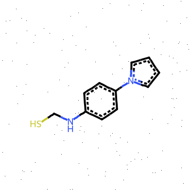 SCNc1ccc(-n2cccc2)cc1